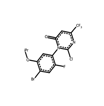 CC(C)Oc1cc(-n2c(Cl)nc(C(F)(F)F)cc2=O)c(F)cc1Br